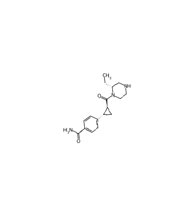 CC[C@@H]1CNCCN1C(=O)[C@H]1C[C@@H]1c1ccc(C(N)=O)cc1